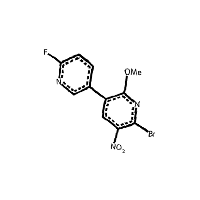 COc1nc(Br)c([N+](=O)[O-])cc1-c1ccc(F)nc1